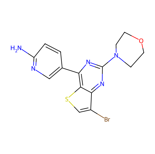 Nc1ccc(-c2nc(N3CCOCC3)nc3c(Br)csc23)cn1